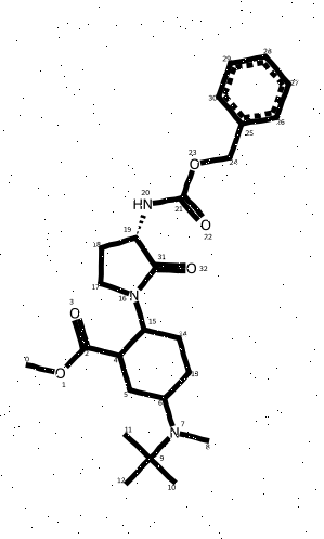 COC(=O)C1CC(N(C)C(C)(C)C)CCC1N1CC[C@H](NC(=O)OCc2ccccc2)C1=O